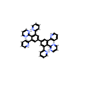 c1ccc(-c2cc(-c3cc(-c4ccccn4)c(-c4ncccn4)c(-c4ccccn4)c3)cc(-c3ccccn3)c2-c2ncccn2)nc1